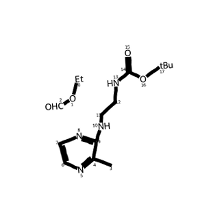 CCOC=O.Cc1nccnc1NCCNC(=O)OC(C)(C)C